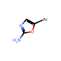 CC(=O)c1cnc(N)o1